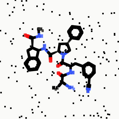 CNC(=O)[C@@H]1Cc2ccccc2[C@@H]1NC(=O)[C@@H]1C[C@H](c2ccccc2)CN1C(=O)C(Cc1cccc(C#N)c1)NC(=O)C(C)N